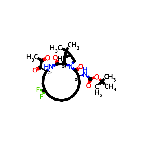 CC(=O)C(=O)[C@@H]1CCC(F)(F)CCCCCCC[C@H](NC(=O)OC(C)(C)C)C(=O)N2CC3C([C@H]2C(=O)N1)C3(C)C